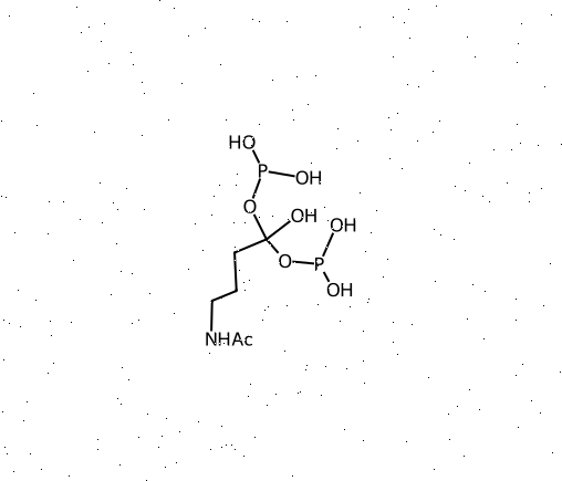 CC(=O)NCCCC(O)(OP(O)O)OP(O)O